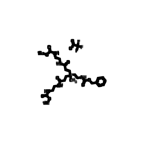 CC(C)(C)OC(=O)NCCNC(=O)CC[N+](C)(CCNC(=O)OCc1ccccc1)CCC(=O)NCCNC(=O)OC(C)(C)C.O=C([O-])C(F)(F)F